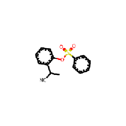 CC(C#N)c1ccccc1OS(=O)(=O)c1ccccc1